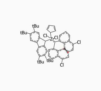 CC(C)(C)c1cc2c(cc1C(C)(C)C)[CH]([Zr]([Cl])([Cl])(=[C](c1cccc3c(Cl)cccc13)c1cccc3c(Cl)cccc13)[CH]1C=CC=C1)c1cc(C(C)(C)C)c(C(C)(C)C)cc1-2